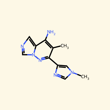 Cc1c(-c2cn(C)cn2)nn2cncc2c1N